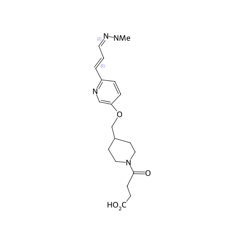 CN/N=C\C=C\c1ccc(OCC2CCN(C(=O)CCC(=O)O)CC2)cn1